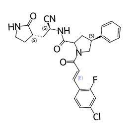 N#C[C@H](C[C@@H]1CCNC1=O)NC(=O)C1C[C@@H](c2ccccc2)CN1C(=O)/C=C/c1ccc(Cl)cc1F